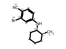 C[C@H]1CCCC[C@H]1Nc1ccc(C#N)c(Br)c1